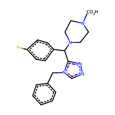 O=C(O)N1CCN(C(c2ccc(F)cc2)c2nncn2Cc2ccccc2)CC1